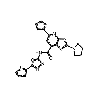 O=C(Nc1nnc(-c2ccco2)o1)c1cc(-c2cccs2)nc2nc(N3CCCC3)sc12